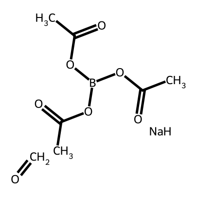 C=O.CC(=O)OB(OC(C)=O)OC(C)=O.[NaH]